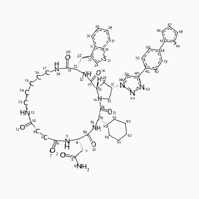 NC(=O)C[C@@H]1NC(=O)CCC(=O)NCCCCCNC(=O)[C@H](Cc2csc3ccccc23)NC(=O)[C@@H]2C[C@H](n3cc(-c4ccc(-c5cccs5)cc4)nn3)CN2C(=O)[C@H](C2CCCCC2)NC1=O